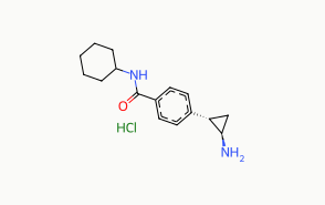 Cl.N[C@@H]1C[C@H]1c1ccc(C(=O)NC2CCCCC2)cc1